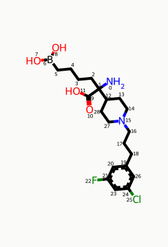 NC(CCCCB(O)O)(C(=O)O)C1CCN(CCCc2cc(F)cc(Cl)c2)CC1